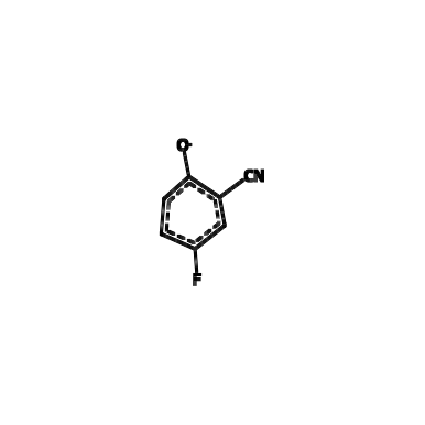 N#Cc1cc(F)ccc1[O]